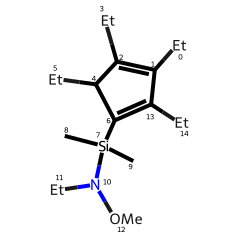 CCC1=C(CC)C(CC)C([Si](C)(C)N(CC)OC)=C1CC